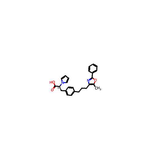 Cc1oc(-c2ccccc2)nc1CCCc1ccc(C[C@@H](C(=O)O)n2cccc2)cc1